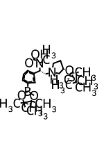 CN(C(=O)O)[C@H](CN1CC[C@H](O[Si](C)(C)C(C)(C)C)C1)c1cccc(B2OC(C)(C)C(C)(C)O2)c1